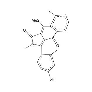 CSC1=C2C(=O)N(C)C(c3ccc(S)cc3C)=C2C(=O)c2cccc(C)c21